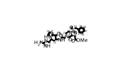 COC(=O)C[C@H]1C(=O)N(CC(=O)N[C@@H](CCCNC(=N)N)C(=O)c2nccs2)CCN1S(=O)(=O)Cc1ccccc1